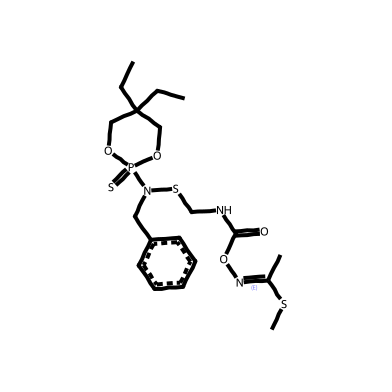 CCC1(CC)COP(=S)(N(Cc2ccccc2)SCNC(=O)O/N=C(\C)SC)OC1